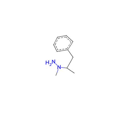 CC(Cc1ccccc1)N(C)N